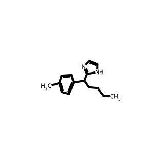 CCCCC(c1ccc(C)cc1)c1ncc[nH]1